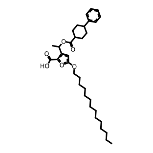 CCCCCCCCCCCCCCOc1cc(C(C)OC(=O)C2CCC(c3ccccc3)CC2)c(C(=O)O)o1